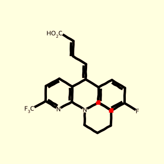 O=C(O)C=CC=C(c1ccc(F)cc1)c1ccc(C(F)(F)F)nc1N1CCCCC1